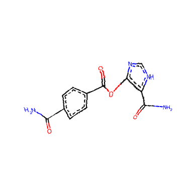 NC(=O)c1ccc(C(=O)Oc2nc[nH]c2C(N)=O)cc1